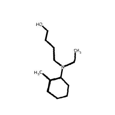 CCN(CCCCO)C1CCCCC1C